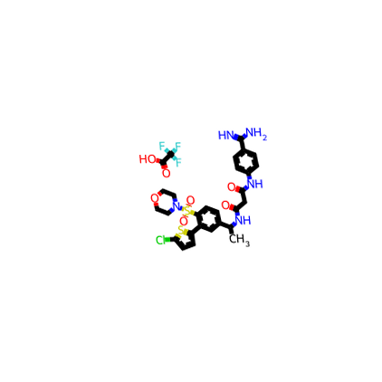 CC(NC(=O)CC(=O)Nc1ccc(C(=N)N)cc1)c1ccc(S(=O)(=O)N2CCOCC2)c(-c2ccc(Cl)s2)c1.O=C(O)C(F)(F)F